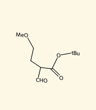 COCCC(C=O)C(=O)OC(C)(C)C